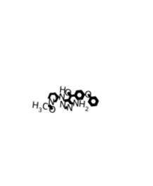 CC(=O)N1CCC[C@@H](Nc2ncnc(N)c2C(=O)c2ccc(Oc3ccccc3)cc2)C1